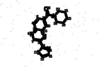 O=C(c1ccc2ncc(-c3nccs3)nc2c1)N1CCCCC1